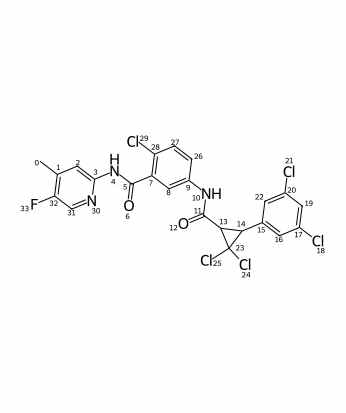 Cc1cc(NC(=O)c2cc(NC(=O)C3C(c4cc(Cl)cc(Cl)c4)C3(Cl)Cl)ccc2Cl)ncc1F